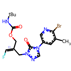 Cc1cc(-n2cnn(C/C(=C\F)COC(=O)NC(C)(C)C)c2=O)cnc1Br